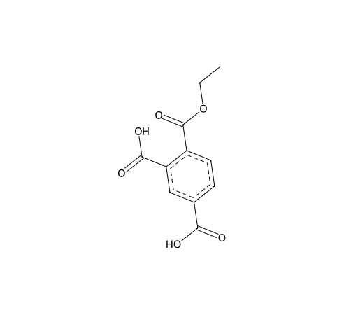 CCOC(=O)c1ccc(C(=O)O)cc1C(=O)O